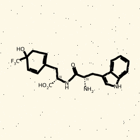 N[C@@H](Cc1c[nH]c2ccccc12)C(=O)N[C@@H](CC1=CCC(O)(C(F)(F)F)C=C1)C(=O)O